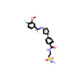 COc1cc([C@@H](C)N[C@H]2CC[C@@H](c3ccc(C(=O)NCCS(N)(=O)=O)cc3)C2)ccc1F